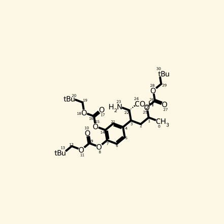 CC(CC(c1ccc(OC(=O)OCC(C)(C)C)c(OC(=O)OCC(C)(C)C)c1)[C@H](N)C(=O)O)OC(=O)OCC(C)(C)C